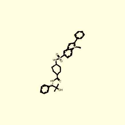 Cn1c(-c2ccccc2)cc2cc(S(=O)(=O)NC3CCC(C(=O)N[C@@H](c4ccccc4)C(C)(C)O)CC3)ccc21